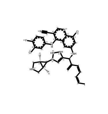 C=C(/C=C\C=C/C)[C@H](Nc1cc(Cl)c2ncc(C#N)c(Nc3ccc(F)c(Cl)c3)c2c1)C1=CN(C2[C@H]3CNC[C@@H]23)NN1